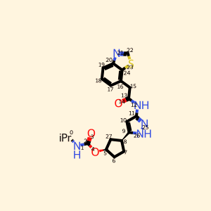 CC(C)NC(=O)O[C@@H]1CC[C@H](c2cc(NC(=O)Cc3cccc4ncsc34)n[nH]2)C1